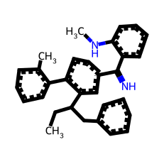 CCC(Cc1ccccc1)c1cc(C(=N)c2ccccc2NC)ccc1-c1ccccc1C